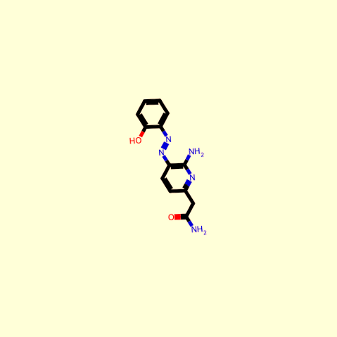 NC(=O)Cc1ccc(N=Nc2ccccc2O)c(N)n1